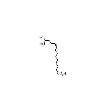 CCCC(O)CC/C=C\CCCCCCCC(=O)O